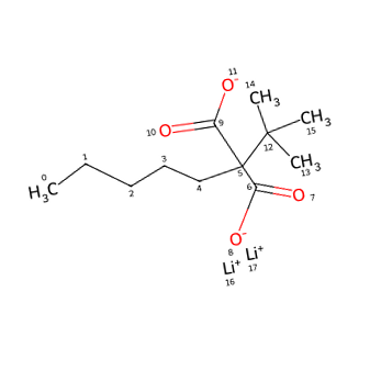 CCCCCC(C(=O)[O-])(C(=O)[O-])C(C)(C)C.[Li+].[Li+]